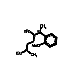 CCCN(CCN(C)C(C)(C)C)[C@@H](C)c1ccccc1OC